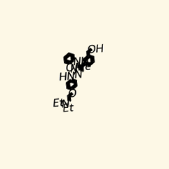 CCN(CC)CCOc1ccc(Nc2ncc(-c3cccc(CO)c3)c(Nc3ccccc3OC)n2)cc1